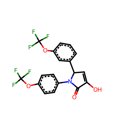 O=C1C(O)=CC(c2cccc(OC(F)(F)F)c2)N1c1ccc(OC(F)(F)F)cc1